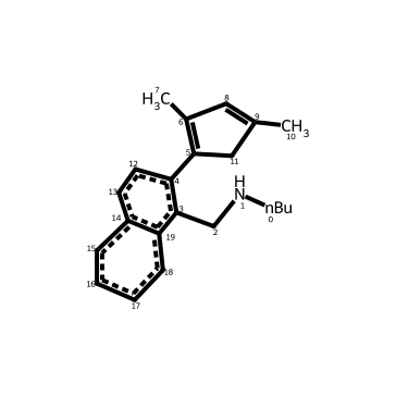 CCCCNCc1c(C2=C(C)C=C(C)C2)ccc2ccccc12